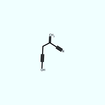 C=C(C#N)CC#CO